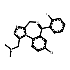 CN(C)Cc1nnc2n1-c1ccc(Cl)cc1C(c1ccccc1F)=NC2